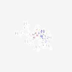 C=C[C@]1(COCCCC)O[C@@H](n2cnc3c(=O)[nH]c(NC(=O)C(C)C)nc32)[C@H](OC(C)=O)[C@@H]1OCCCC